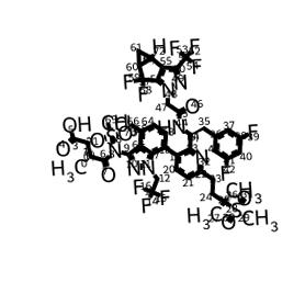 C[C@H](CC(=O)O)C(=O)N(c1nn(CC(F)(F)F)c2c(-c3ccc(CCC(C)(C)S(C)(=O)=O)nc3[C@H](Cc3cc(F)cc(F)c3)NC(=O)Cn3nc(C(F)(F)F)c4c3C(F)(F)C3C[C@H]43)ccc(Cl)c12)S(C)(=O)=O